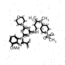 COc1cccc2c1nc(C(F)F)n2-c1nc(NCCC(C)N(C)C2CCN(S(C)(=O)=O)CC2)nc(N2CCOCC2)n1